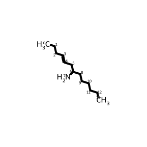 CCC/C=C/CC(N)CCCCCC